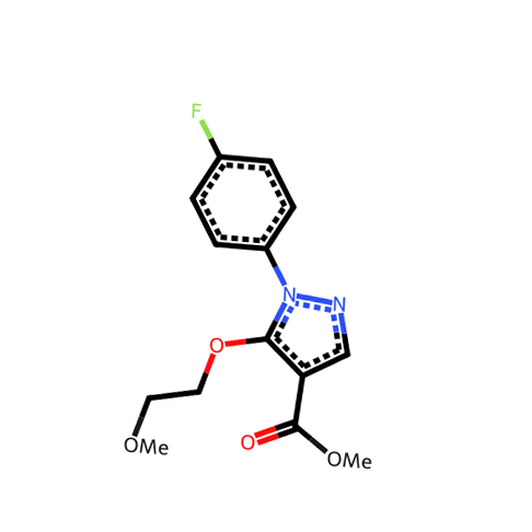 COCCOc1c(C(=O)OC)cnn1-c1ccc(F)cc1